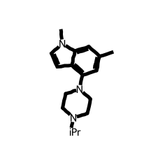 Cc1cc(N2CCN(C(C)C)CC2)c2ccn(C)c2c1